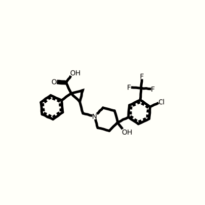 O=C(O)C1(c2ccccc2)CC1CN1CCC(O)(c2ccc(Cl)c(C(F)(F)F)c2)CC1